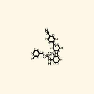 Cc1cccc(COC(=O)N[C@@H]2CCCC[C@H]2N[C@H]2CCCN(c3ccc(C#N)cc3)C2)c1